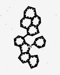 c1ccc(-n2c3c(-c4ccc5ccc6cccc7ccc4c5c67)cccc3c3ccc4ccccc4c32)cc1